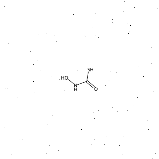 O=C(S)NO